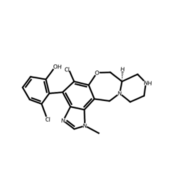 Cn1cnc2c(-c3c(O)cccc3Cl)c(Cl)c3c(c21)CN1CCNC[C@@H]1CO3